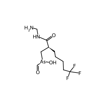 NCNC(=O)[C@@H](CCCCC(F)(F)F)C[As](O)C=O